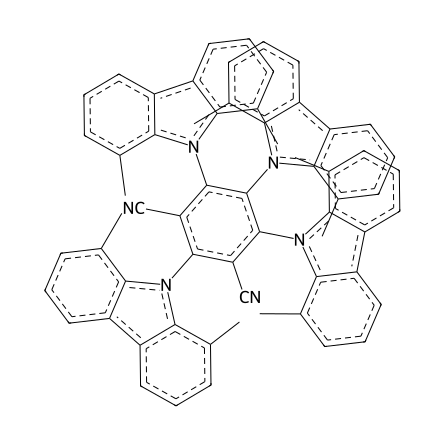 Cc1cccc2c3cccc(C)c3n(-c3c(C#N)c(-n4c5c(C)cccc5c5cccc(C)c54)c(-n4c5c(C)cccc5c5cccc(C)c54)c(-n4c5c(C)cccc5c5cccc(C)c54)c3C#N)c12